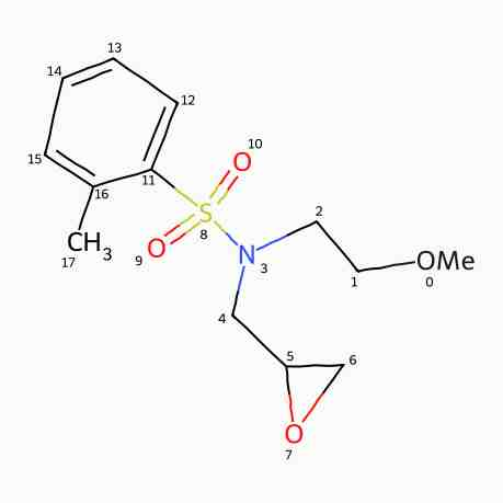 COCCN(CC1CO1)S(=O)(=O)c1ccccc1C